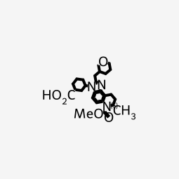 COC(=O)N1c2ccc3c(nc(CC4CCCOC4)n3C3CCCC(C(=O)O)C3)c2CC[C@@H]1C